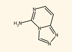 Nc1nccc2nncn12